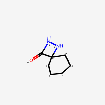 O=C1NNC12CCCCC2